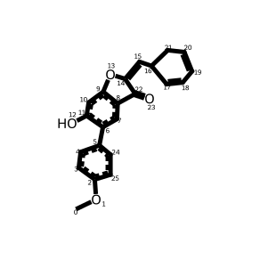 COc1ccc(-c2cc3c(cc2O)OC(=CC2C=CC=CC2)C3=O)cc1